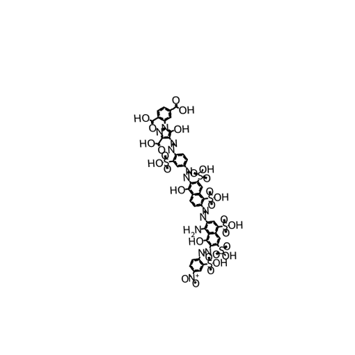 Nc1c(N=Nc2ccc3c(O)c(N=Nc4ccc(N=Nc5c(C(=O)O)nn(-c6cc(C(=O)O)ccc6C(=O)O)c5O)c(S(=O)(=O)O)c4)c(S(=O)(=O)O)cc3c2S(=O)(=O)O)cc(S(=O)(=O)O)c2cc(S(=O)(=O)O)c(N=Nc3ccc([N+](=O)[O-])cc3S(=O)(=O)O)c(O)c12